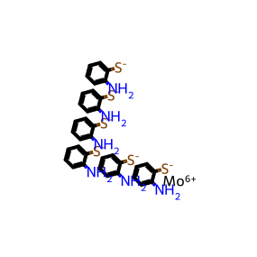 Nc1ccccc1[S-].Nc1ccccc1[S-].Nc1ccccc1[S-].Nc1ccccc1[S-].Nc1ccccc1[S-].Nc1ccccc1[S-].[Mo+6]